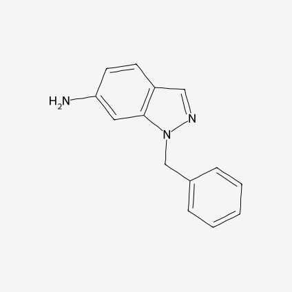 Nc1ccc2cnn(Cc3ccccc3)c2c1